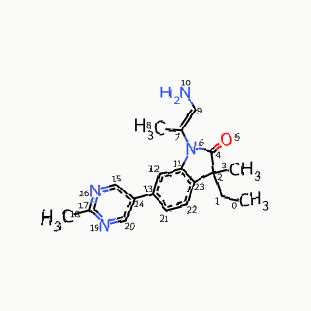 CCC1(C)C(=O)N(/C(C)=C/N)c2cc(-c3cnc(C)nc3)ccc21